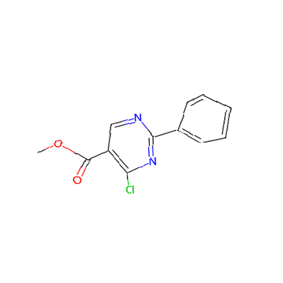 COC(=O)c1cnc(-c2ccccc2)nc1Cl